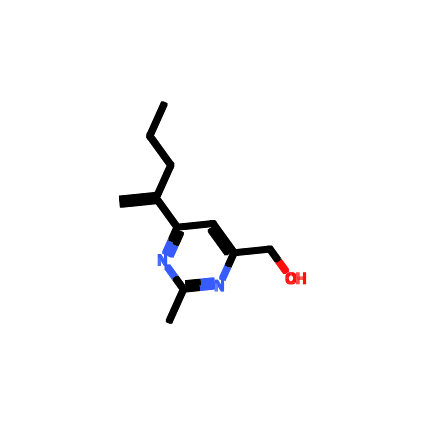 C=C(CCC)c1cc(CO)nc(C)n1